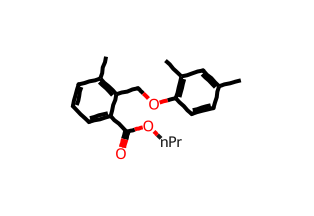 CCCOC(=O)c1cccc(C)c1COc1ccc(C)cc1C